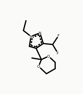 CCn1cc(C2(C)OCCCO2)c(C(F)F)n1